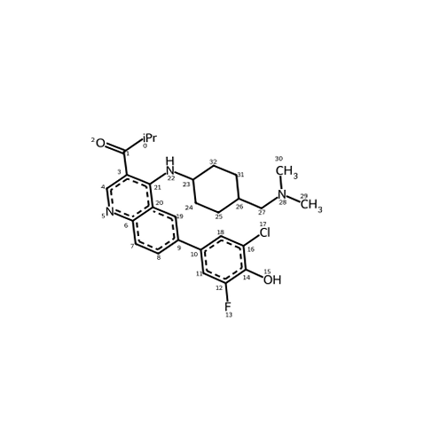 CC(C)C(=O)c1cnc2ccc(-c3cc(F)c(O)c(Cl)c3)cc2c1NC1CCC(CN(C)C)CC1